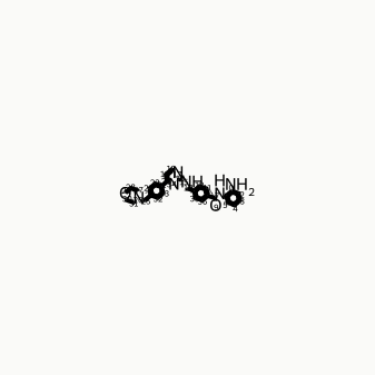 Nc1ccccc1NC(=O)c1ccc(CNc2nccc(-c3ccc(CN4CCOCC4)cc3)n2)cc1